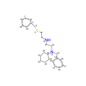 c1ccc(CSCCNCCN(Cc2ccccc2)C2CCCCC2)cc1